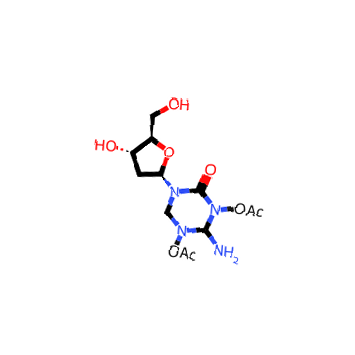 CC(=O)ON1CN([C@H]2C[C@H](O)[C@@H](CO)O2)C(=O)N(OC(C)=O)C1N